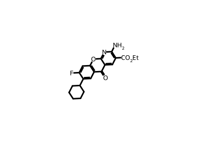 CCOC(=O)c1cc2c(=O)c3cc(C4CCCCC4)c(F)cc3oc2nc1N